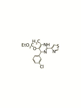 CCOC(=O)OC1=C(C)NC(c2cscn2)=NC1c1cccc(Cl)c1